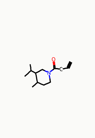 C#CCC(=O)N1CCC(C)C(C(C)C)C1